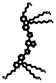 CCCCCCCCC1(CCCCCCCC)c2cc(OCCCC)ccc2-c2ccc(-c3ccc(-c4ccc(-c5ccc(-c6ccc7c(c6)C(CCCCCCCC)(CCCCCCCC)c6cc(OCCCC)ccc6-7)s5)c5nsnc45)s3)cc21